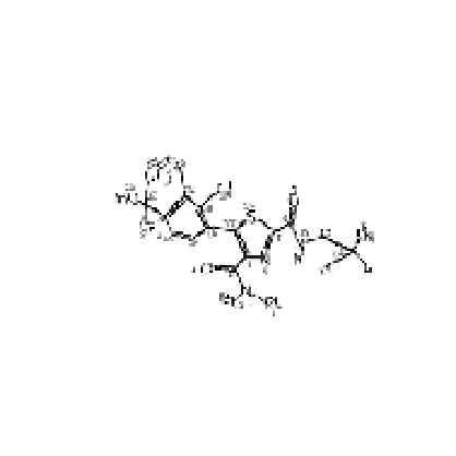 CCN(CC)C(=O)c1nc(C(=O)NCC(C)(C)C#N)sc1-c1ccc(C(O)(C(F)(F)F)C(F)(F)F)c(Cl)c1Cl